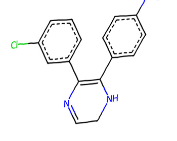 Nc1ccc(C2=C(c3cccc(Cl)c3)N=CCN2)cc1